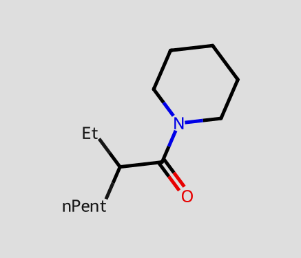 CCCCCC(CC)C(=O)N1CCCCC1